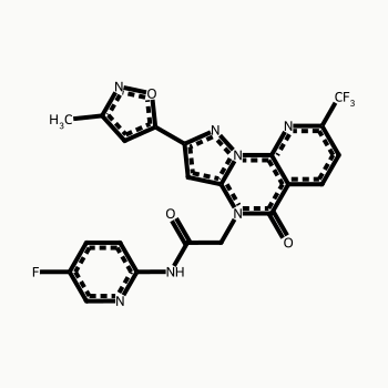 Cc1cc(-c2cc3n(CC(=O)Nc4ccc(F)cn4)c(=O)c4ccc(C(F)(F)F)nc4n3n2)on1